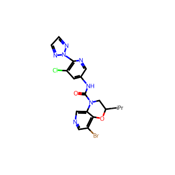 CC(C)C1CN(C(=O)Nc2cnc(-n3nccn3)c(Cl)c2)c2cncc(Br)c2O1